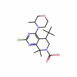 CC1COCCN1c1nc(Cl)nc2c1C(C(C)(C)C)CN(C(=O)O)C2(C)C